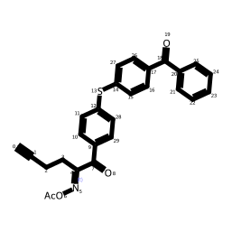 C#CCC/C(=N\OC(C)=O)C(=O)c1ccc(Sc2ccc(C(=O)c3ccccc3)cc2)cc1